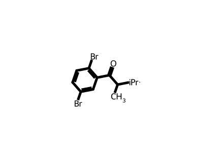 C[C](C)C(C)C(=O)c1cc(Br)ccc1Br